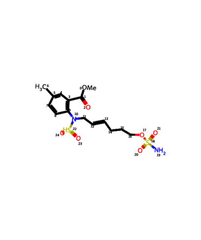 COC(=O)c1cc(C)ccc1N(C/C=C/CCCOS(N)(=O)=O)[SH](=O)=O